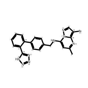 Cc1cc(NCc2ccc(-c3ccccc3-c3nnn[nH]3)cc2)n2ncc(Br)c2n1